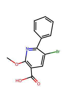 COc1nc(-c2ccccc2)c(Br)cc1C(=O)O